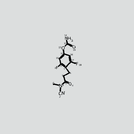 CN(C#N)C(=O)[CH]Cc1c(F)cc(OC(N)=O)cc1F